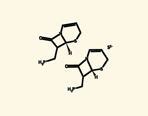 O=C1C(C[PH3+])[C@@H]2SCC=CN12.O=C1C(C[PH3+])[C@@H]2SCC=CN12.[S-2]